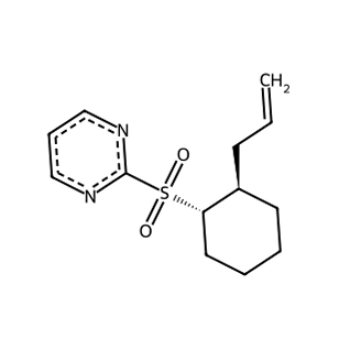 C=CC[C@H]1CCCC[C@@H]1S(=O)(=O)c1ncccn1